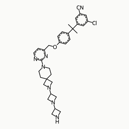 CC(C)(c1ccc(OCc2ccnc(N3CCC4(CC3)CN(C3CN(C5CNC5)C3)C4)n2)cc1)c1cc(Cl)cc(C#N)c1